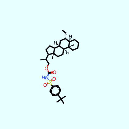 CC[C@H]1C[C@H]2C3CCC([C@H](C)COC(=O)NS(=O)(=O)c4ccc(C(C)(C)C)cc4)[C@@]3(C)CC[C@@H]2[C@@]2(C)CCCC[C@@H]12